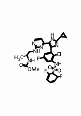 COC(=O)N[C@@H](C)CNc1nccc(-c2[nH]c(C3CC3)nc2-c2cc(F)cc(NS(=O)(=O)C3C(F)=CC=CC3F)c2Cl)n1